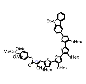 CCCCCCc1cc(-c2sc(-c3sc(-c4sc(-c5ccc6c(c5)c5ccccc5n6CC)cc4CCCCCC)cc3CCCCCC)cc2CCCCCC)sc1/C=C(\C#N)C(=O)Nc1ccc([Si](OC)(OC)OC)cc1